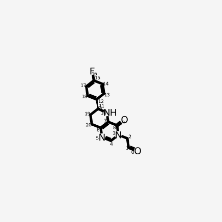 O=CCn1cnc2c(c1=O)N[C@H](c1ccc(F)cc1)CC2